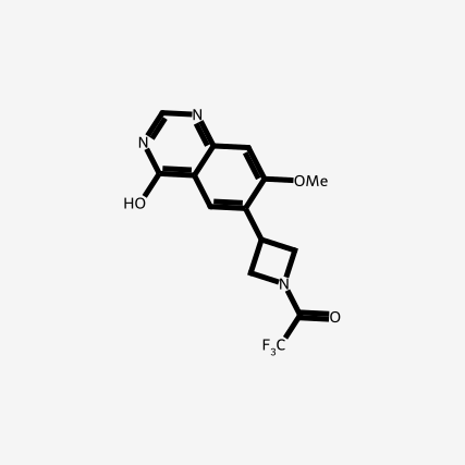 COc1cc2ncnc(O)c2cc1C1CN(C(=O)C(F)(F)F)C1